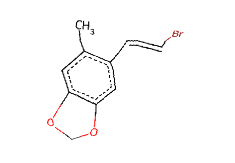 Cc1cc2c(cc1C=CBr)OCO2